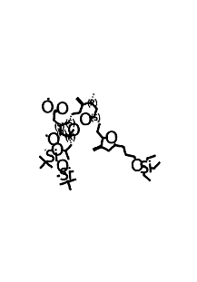 C=C1CC(CCCO[Si](CC)(CC)CC)OC1CC[C@H]1C[C@@H](C)C(=C)C(C[C@@H]2O[C@H](CC(CO[Si](C)(C)C(C)(C)C)O[Si](C)(C)C(C)(C)C)[C@H](OC)[C@H]2CC(=O)OC)O1